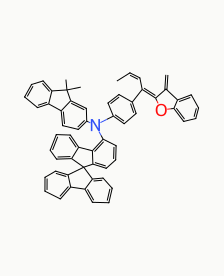 C=c1/c(=C(\C=C/C)c2ccc(N(c3ccc4c(c3)C(C)(C)c3ccccc3-4)c3cccc4c3-c3ccccc3C43c4ccccc4-c4ccccc43)cc2)oc2ccccc12